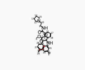 COC(=O)C1=C(C(=O)NCCN2CCCC2)C2C=CC1(C(Cc1ccc(C)cc1)Nc1cc(F)cc(F)c1)O2